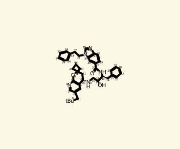 CC(C)(C)Cc1cnc2c(c1)[C@@H](NC[C@@H](O)[C@H](Cc1ccccc1)NC(=O)c1ccc3ncn(CCc4ccccc4)c3c1)CC1(CCC1)O2